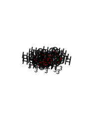 CC(CCC(OC1OC(COC2OC(COC3OC(CO)C(O)C(O)C3O)C(O)C(O)C2O)C(O)C(O)C1OC1OC(CO)C(O)C(O)C1O)C(C)(C)O)C1CCC2(C)C3CC=C4C(CCC(OC5OC(COC6OC(CO)C(O)C(O)C6O)C(O)C(O)C5O)C4(C)C)C3(C)C(O)CC12C